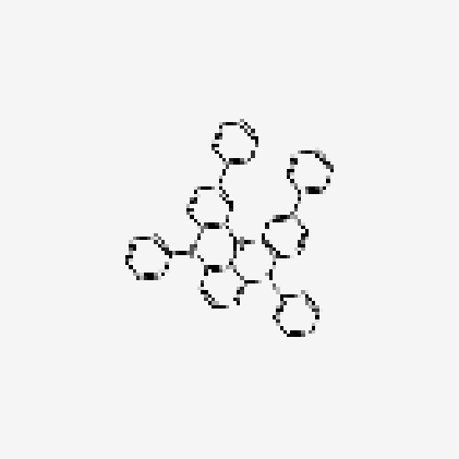 c1ccc(-c2ccc3c(c2)N2c4cc(-c5ccccc5)ccc4P(c4ccccc4)c4cccc(c42)P3c2ccccc2)cc1